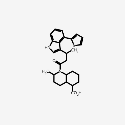 CC(CC(=O)N1C(C)CCC2C(C(=O)O)CCCC21)c1c[nH]c2cccc(-c3cccs3)c12